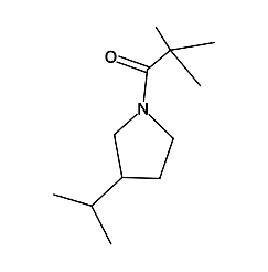 CC(C)C1CCN(C(=O)C(C)(C)C)C1